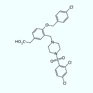 O=C(O)Cc1ccc(OCc2ccc(Cl)cc2)c(CN2CCN(S(=O)(=O)c3ccc(Cl)cc3Cl)CC2)c1